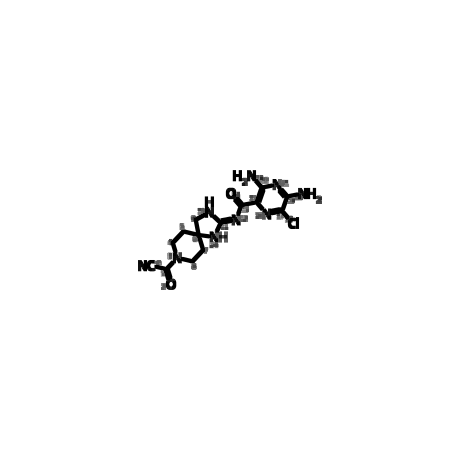 N#CC(=O)N1CCC2(CC1)CN/C(=N\C(=O)c1nc(Cl)c(N)nc1N)N2